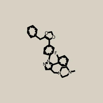 CN1CCN(Cc2cnn(-c3ccc(C4=C(Cc5ccccc5)OCO4)cc3)c2-c2ccccc2F)CC1